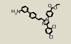 CCOC(=O)c1ccc(-n2cc(-c3ccc(Cl)cc3Cl)nc2/C=C/c2ccc(-c3cccc(N)c3)cc2)cc1